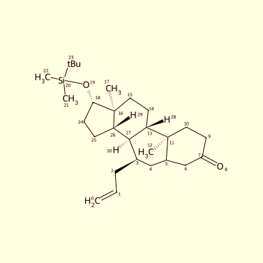 C=CC[C@@H]1CC2CC(=O)CC[C@]2(C)[C@H]2CC[C@]3(C)[C@@H](O[Si](C)(C)C(C)(C)C)CC[C@H]3[C@H]12